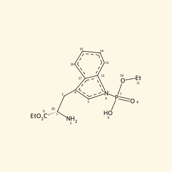 CCOC(=O)[C@@H](N)Cc1cn(P(=O)(O)OCC)c2ccccc12